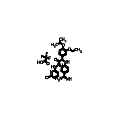 CCOc1cc(C(Nc2ccc(C(=N)N)cc2)C(=O)NNc2cccc(Cl)n2)ccc1OC(C)C.O=C(O)C(F)(F)F